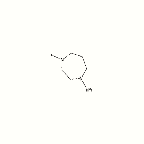 CCCN1CCCN(I)CC1